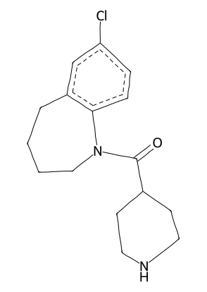 O=C(C1CCNCC1)N1CCCCc2cc(Cl)ccc21